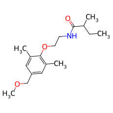 CCC(C)C(=O)NCCOc1c(C)cc(COC)cc1C